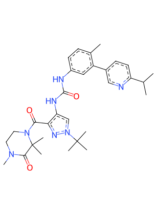 Cc1ccc(NC(=O)Nc2cn(C(C)(C)C)nc2C(=O)N2CCN(C)C(=O)C2(C)C)cc1-c1ccc(C(C)C)nc1